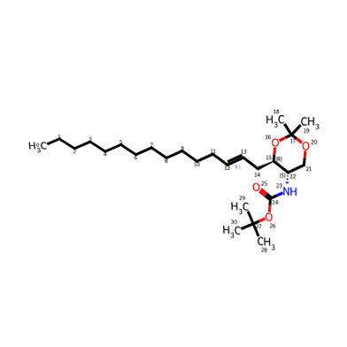 CCCCCCCCCCCC/C=C/C[C@H]1OC(C)(C)OC[C@@H]1NC(=O)OC(C)(C)C